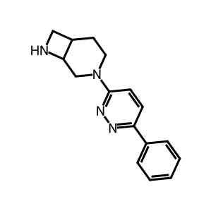 c1ccc(-c2ccc(N3CCC4CNC4C3)nn2)cc1